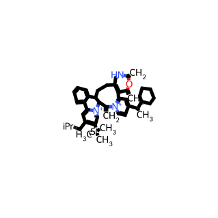 C=C1NCC2=C(C(=C)O1)c1cc(C(C)C3CCCCC3)cc[n+]1C(=C)C1C(CC2)c2ccccc2-c2cc(CC(C)C)c([Si](C)(C)C)c[n+]21